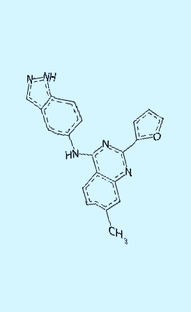 Cc1ccc2c(Nc3ccc4[nH]ncc4c3)nc(-c3ccco3)nc2c1